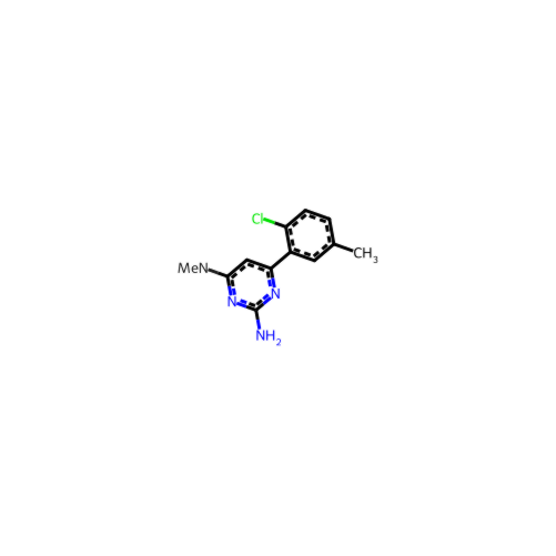 CNc1cc(-c2cc(C)ccc2Cl)nc(N)n1